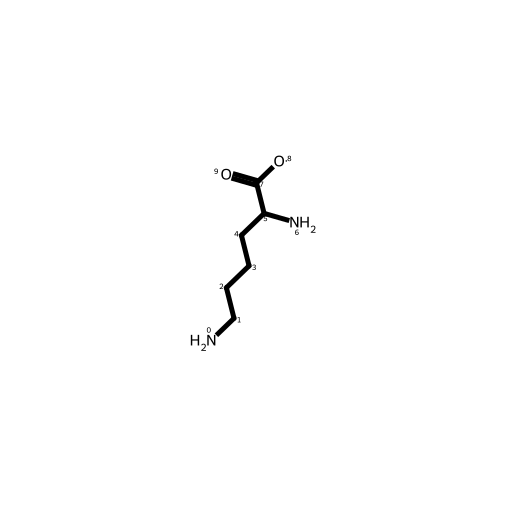 NCCCCC(N)C([O])=O